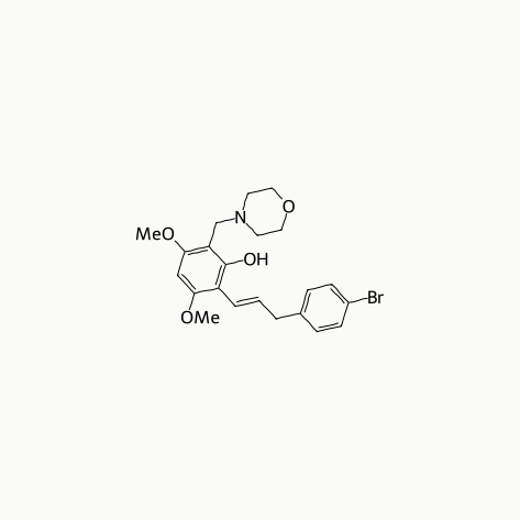 COc1cc(OC)c(CN2CCOCC2)c(O)c1/C=C/Cc1ccc(Br)cc1